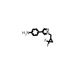 Nc1ccc(-c2cnn(CC3CC3(F)F)c2)cc1